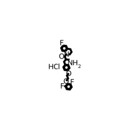 Cl.NCC(Cc1ccc(OCCOc2c(F)cccc2F)cc1)C(=O)N1CCCc2cc(F)ccc21